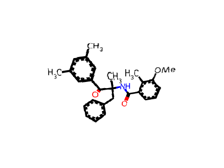 COc1cccc(C(=O)NC(C)(Cc2ccccc2)C(=O)c2cc(C)cc(C)c2)c1C